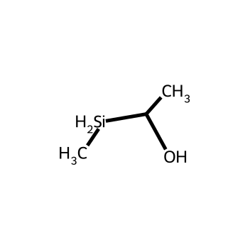 C[SiH2]C(C)O